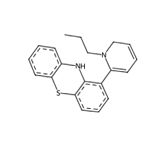 CCCN1CC=CC=C1c1cccc2c1Nc1ccccc1S2